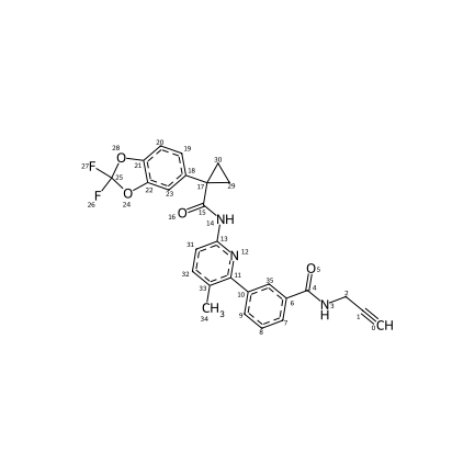 C#CCNC(=O)c1cccc(-c2nc(NC(=O)C3(c4ccc5c(c4)OC(F)(F)O5)CC3)ccc2C)c1